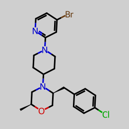 C[C@H]1CN(C2CCN(c3cc(Br)ccn3)CC2)[C@@H](Cc2ccc(Cl)cc2)CO1